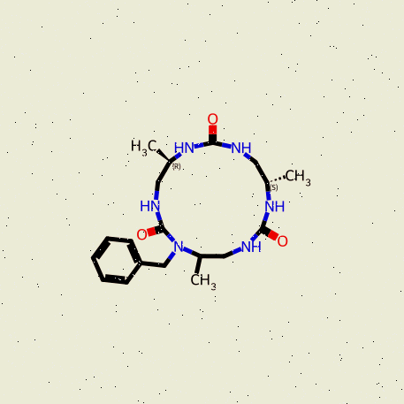 CC1CNC(=O)N[C@@H](C)CNC(=O)N[C@H](C)CNC(=O)N1Cc1ccccc1